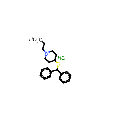 Cl.O=C(O)CCN1CCC(SC(c2ccccc2)c2ccccc2)CC1